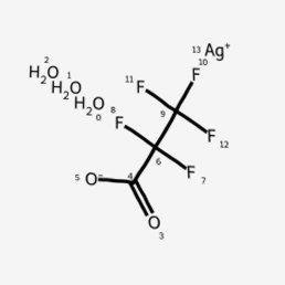 O.O.O.O=C([O-])C(F)(F)C(F)(F)F.[Ag+]